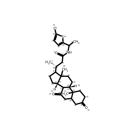 CC(NC(=O)C[C@@H](C)C1CC[C@H]2C3C(=O)CC4CC(=O)CCC4(C)[C@H]3CCC12C)c1ccc(Cl)s1